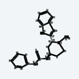 CN1CC[C@@H](NC(=O)Nc2ccccc2)C[C@@H]1c1nc2ccccc2[nH]1